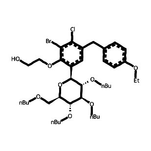 CCCCOC[C@H]1O[C@@H](c2cc(Cc3ccc(OCC)cc3)c(Cl)c(Br)c2OCCO)[C@H](OCCCC)[C@@H](OCCCC)[C@@H]1OCCCC